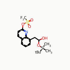 CC(C)(C)[Si](C)(C)OC(O)Cc1cccc2ccc(OS(=O)(=O)C(F)(F)F)nc12